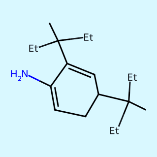 CCC(C)(CC)C1=CC(C(C)(CC)CC)CC=C1N